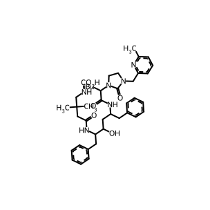 CCC(C)C(C(=O)NC(Cc1ccccc1)CC(O)C(Cc1ccccc1)NC(=O)CC(C)(C)CNC(=O)O)N1CCN(Cc2cccc(C)n2)C1=O